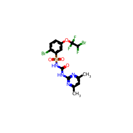 Cc1cc(C)nc(NC(=O)NS(=O)(=O)c2cc(OC(F)(F)C(F)Br)ccc2Br)n1